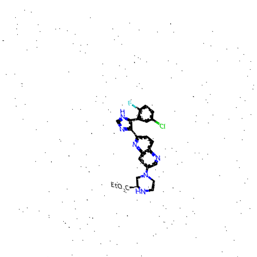 CCOC(=O)[C@H]1CN(c2cnc3ccc(-c4nc[nH]c4-c4cc(Cl)ccc4F)nc3c2)CCN1